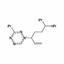 C=CC(CCC(CCC)C(C)C)[n+]1cnnc(C(C)C)n1